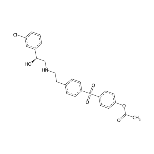 CC(=O)Oc1ccc(S(=O)(=O)c2ccc(CCNC[C@@H](O)c3cccc(Cl)c3)cc2)cc1